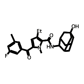 CCc1cc(C(=O)c2cc(C)cc(F)c2)n(C)c1C(=O)NC1C2CC3CC1CC(O)(C3)C2